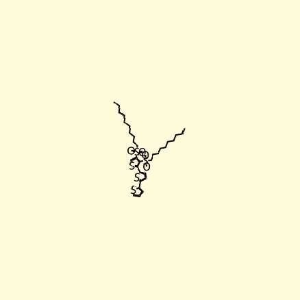 CCCCCCCCCCS(=O)(=O)c1csc(-c2ccc(-c3cccs3)s2)c1S(=O)(=O)CCCCCCCCCC